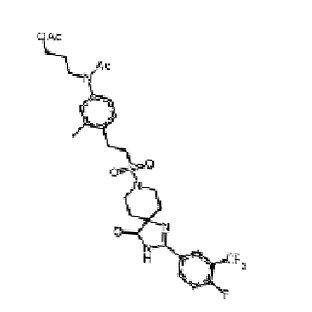 CC(=O)OCCCN(C(C)=O)c1ccc(CCS(=O)(=O)N2CCC3(CC2)N=C(c2ccc(F)c(C(F)(F)F)c2)NC3=O)c(C)c1